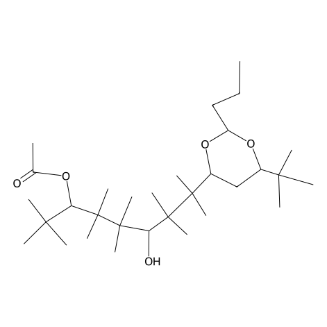 CCCC1OC(C(C)(C)C)CC(C(C)(C)C(C)(C)C(O)C(C)(C)C(C)(C)C(OC(C)=O)C(C)(C)C)O1